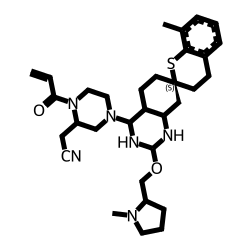 C=CC(=O)N1CCN(C2NC(OCC3CCCN3C)NC3C[C@@]4(CCc5cccc(C)c5S4)CCC32)CC1CC#N